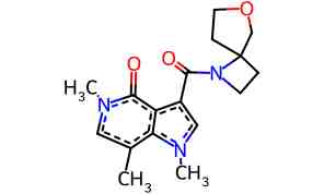 Cc1cn(C)c(=O)c2c(C(=O)N3CCC34CCOC4)cn(C)c12